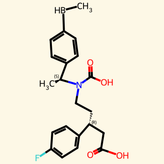 CBc1ccc([C@H](C)N(CC[C@H](CC(=O)O)c2ccc(F)cc2)C(=O)O)cc1